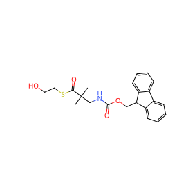 CC(C)(CNC(=O)OCC1c2ccccc2-c2ccccc21)C(=O)SCCO